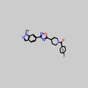 CC(C)n1ncc2ccc(-c3noc(C4CCN(C(=O)C56CCC(F)(CC5)CC6)CC4)n3)cc21